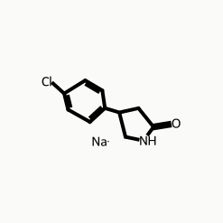 O=C1CC(c2ccc(Cl)cc2)CN1.[Na]